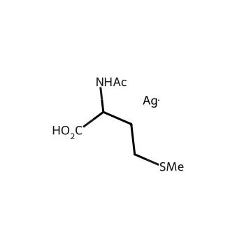 CSCCC(NC(C)=O)C(=O)O.[Ag]